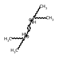 CCCCCCCCCCN(CCCCCCCCCC)CCC(=O)NCCCN1CCN(CCCNC(=O)CCN(CCCCCCCCCC)CCCCCCCCCC)CC1